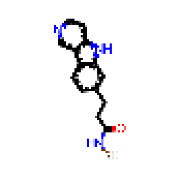 O=C(CCc1ccc2c(c1)[nH]c1ccncc12)NS